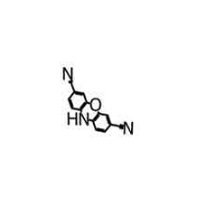 N#Cc1ccc2c(c1)Oc1cc(C#N)ccc1N2